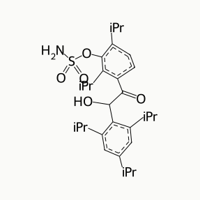 CC(C)c1cc(C(C)C)c(C(O)C(=O)c2ccc(C(C)C)c(OS(N)(=O)=O)c2C(C)C)c(C(C)C)c1